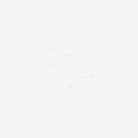 COC(OC)[SiH2]C(C)c1ccccc1N